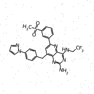 CS(=O)(=O)c1cccc(-c2cc(Cc3ccc(-n4cccn4)cc3)c3nc(N)nc(NCC(F)(F)F)c3n2)c1